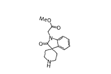 COC(=O)CN1C(=O)C2(CCNCC2)c2ccccc21